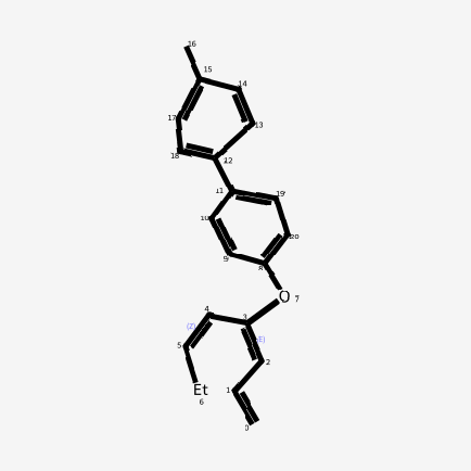 C=C/C=C(\C=C/CC)Oc1ccc(-c2ccc(C)cc2)cc1